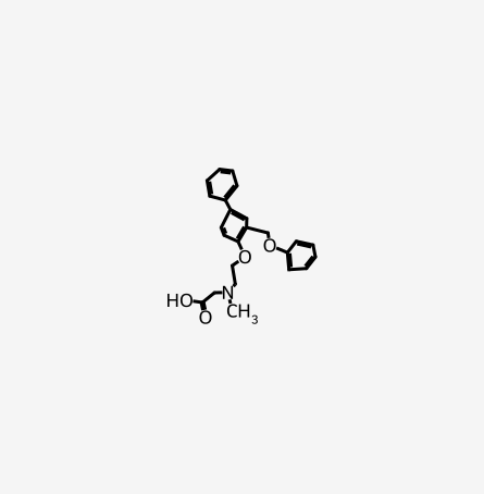 CN(CCOc1ccc(-c2ccccc2)cc1COc1ccccc1)CC(=O)O